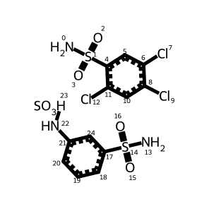 NS(=O)(=O)c1cc(Cl)c(Cl)cc1Cl.NS(=O)(=O)c1cccc(NS(=O)(=O)O)c1